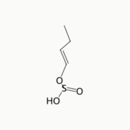 CCC=COS(=O)O